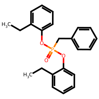 CCc1ccccc1OP(=O)(Cc1ccccc1)Oc1ccccc1CC